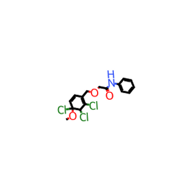 COC1(Cl)C=CC(COCC(=O)Nc2ccccc2)=C(Cl)C1Cl